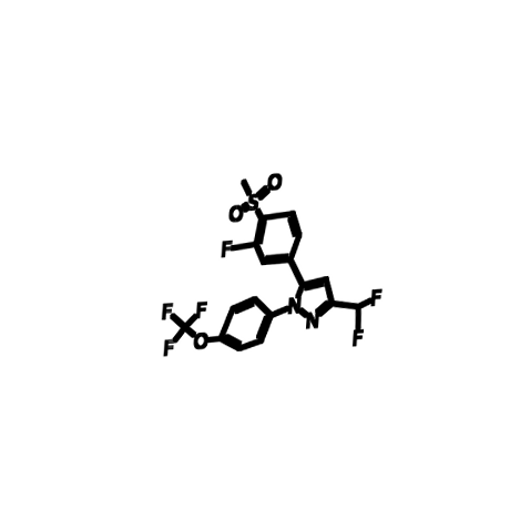 CS(=O)(=O)c1ccc(-c2cc(C(F)F)nn2-c2ccc(OC(F)(F)F)cc2)cc1F